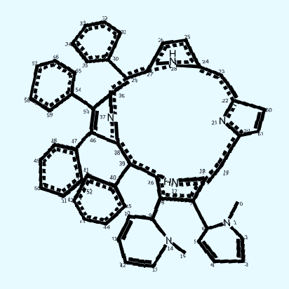 CN1C=CC=CC1c1c(C2C=CC=CN2C)c2[nH]c1cc1nc(cc3ccc([nH]3)c(-c3ccccc3)c3nc(c2-c2ccccc2)C(c2ccccc2)=C3c2ccccc2)C=C1